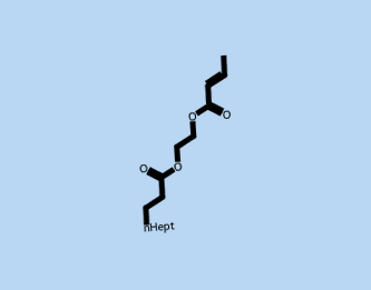 C/C=C/C(=O)OCCOC(=O)CCCCCCCCC